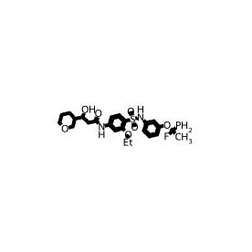 CCOc1cc(NC(=O)CC(O)C2CCCOC2)ccc1S(=O)(=O)Nc1cccc(OC(C)(F)P)c1